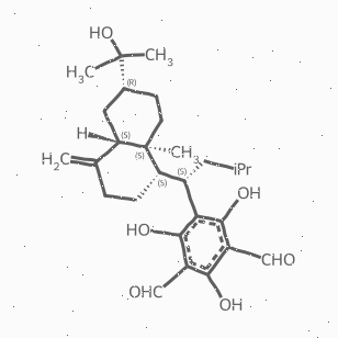 C=C1CC[C@@H]([C@H](CC(C)C)c2c(O)c(C=O)c(O)c(C=O)c2O)[C@]2(C)CC[C@@H](C(C)(C)O)C[C@@H]12